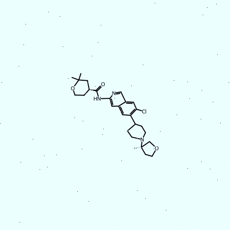 CC1(C)C[C@@H](C(=O)Nc2cc3cc(C4CCN([C@]5(C)CCOC5)CC4)c(Cl)cc3cn2)CCO1